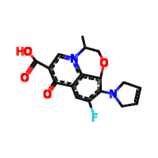 CC1COc2c(N3CC=CC3)c(F)cc3c(=O)c(C(=O)O)cn1c23